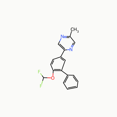 Cc1cnc(-c2ccc(OC(F)F)c(-c3ccccc3)c2)cn1